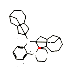 c1ccc(P(C23CC4CCCC(C2)C(C4)C3)C23CC4CCCC(C2)C(C4)C3)c(N2CCOCC2)c1